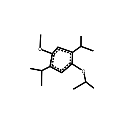 COc1cc(C(C)C)c(OC(C)C)cc1C(C)C